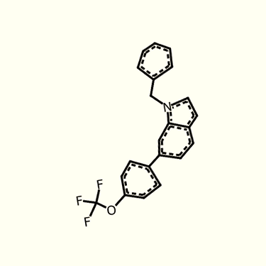 FC(F)(F)Oc1ccc(-c2ccc3ccn(Cc4ccccc4)c3c2)cc1